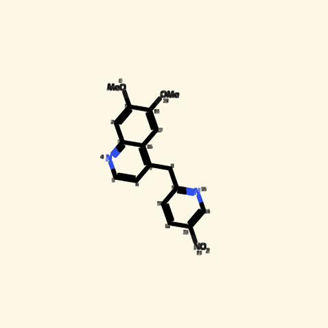 COc1cc2nccc(Cc3ccc([N+](=O)[O-])cn3)c2cc1OC